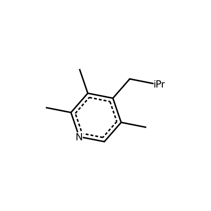 Cc1cnc(C)c(C)c1CC(C)C